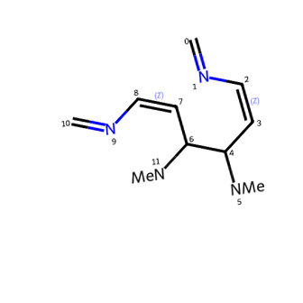 C=N/C=C\C(NC)C(/C=C\N=C)NC